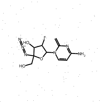 C=C1N=C(N)C=CN1C1OC(CO)(N=[N+]=[N-])C(O)C1F